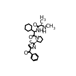 CN[C@@H](C)C(=O)NC(C(=O)N1CCC[C@H]1c1nc(C(=O)c2ccccc2)cs1)C1CCCCC1